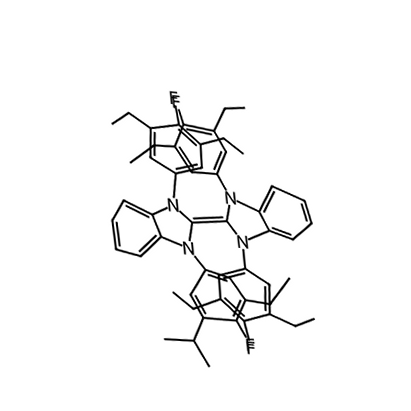 CCc1cc(N2C(=C3N(c4cc(CC)c(F)c(CC)c4)c4ccccc4N3c3cc(CC)c(F)c(C(C)C)c3)N(c3cc(CC)c(F)c(CC)c3)c3ccccc32)cc(CC)c1F